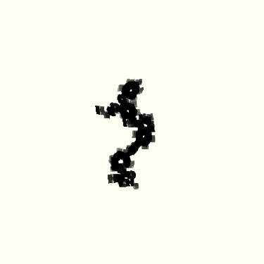 CNC(=O)N1CCC[C@@H](C#Cc2ccc3ncnc(Nc4ccc(Oc5ccccc5)c(OC)c4)c3c2)C1